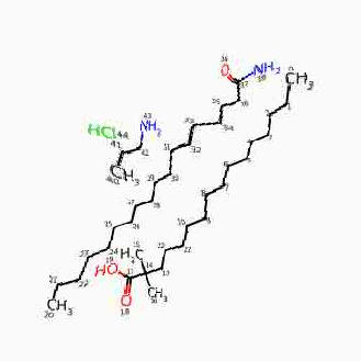 CCCCCCCCCCCCCCC(C)(C)C(=O)O.CCCCCCCCCCCCCCCCCC(N)=O.CCCN.Cl